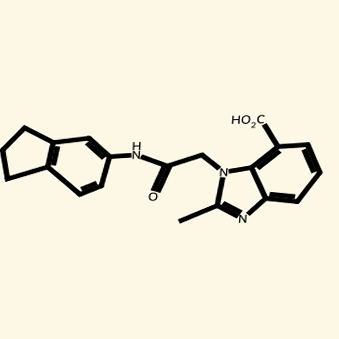 Cc1nc2cccc(C(=O)O)c2n1CC(=O)Nc1ccc2c(c1)CCC2